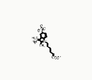 CC1=[N+](CCCCCC(=O)[O-])c2ccc(S(=O)(=O)[O-])cc2C1(C)C.[K+]